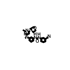 Cc1nc(N2CCOCC2)cc(N(C)c2cccc(NC(=O)Nc3cccc(C#N)c3)c2)n1